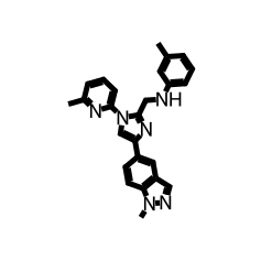 Cc1cccc(NCc2nc(-c3ccc4c(cnn4C)c3)cn2-c2cccc(C)n2)c1